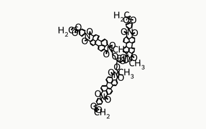 C=CS(=O)(=O)c1ccc(N2C(=O)c3ccc4c5ccc6c7c(ccc(c8ccc(c3c48)C2=O)c75)C(=O)N(C(C)COCC(CC)(COCC(C)N2C(=O)c3ccc4c5ccc7c8c(ccc(c9ccc(c3c49)C2=O)c85)C(=O)N(c2ccc(S(=O)(=O)C=C)cc2)C7=O)COCC(C)N2C(=O)c3ccc4c5ccc7c8c(ccc(c9ccc(c3c49)C2=O)c85)C(=O)N(c2ccc(S(=O)(=O)C=C)cc2)C7=O)C6=O)cc1